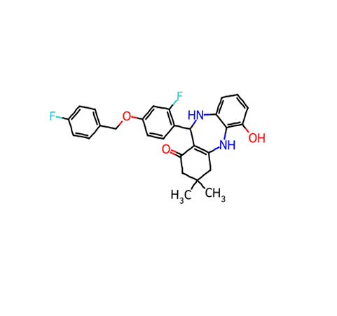 CC1(C)CC(=O)C2=C(C1)Nc1c(O)cccc1NC2c1ccc(OCc2ccc(F)cc2)cc1F